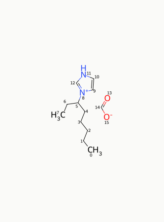 CCCCCC(CC)[n+]1cc[nH]c1.O=C[O-]